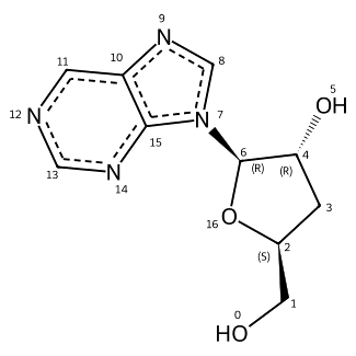 OC[C@@H]1C[C@@H](O)[C@H](n2cnc3cncnc32)O1